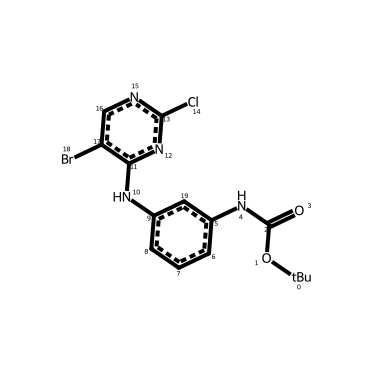 CC(C)(C)OC(=O)Nc1cccc(Nc2nc(Cl)ncc2Br)c1